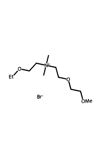 CCOCC[N+](C)(C)CCOCCOC.[Br-]